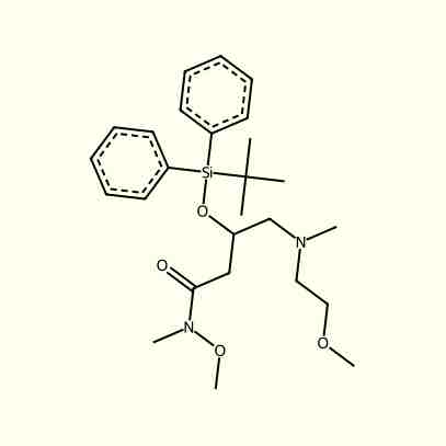 COCCN(C)CC(CC(=O)N(C)OC)O[Si](c1ccccc1)(c1ccccc1)C(C)(C)C